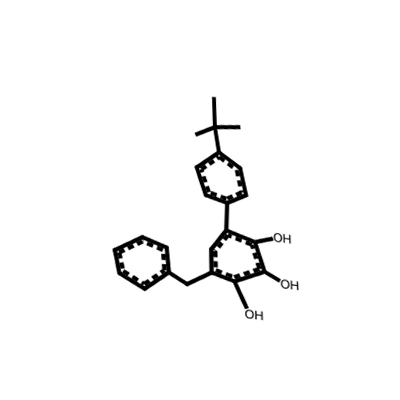 CC(C)(C)c1ccc(-c2cc(Cc3ccccc3)c(O)c(O)c2O)cc1